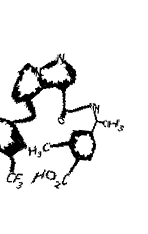 Cc1cc([C@H](C)NC(=O)c2cnn3cccc(Cc4cccc(C(F)(F)F)c4)c23)ccc1C(=O)O